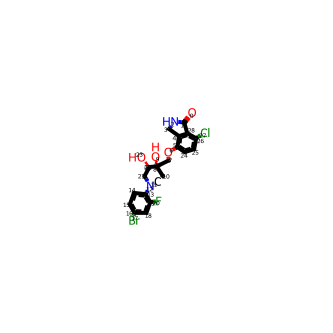 O=C1NCc2c(OC[C@]3(O)CCN(c4ccc(Br)cc4F)C[C@H]3O)ccc(Cl)c21